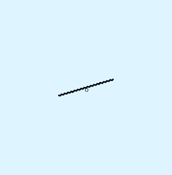 CCCCCCCC/C=C/CCCCCCCC(=O)CCCCCCC/C=C/CCCCCCCC